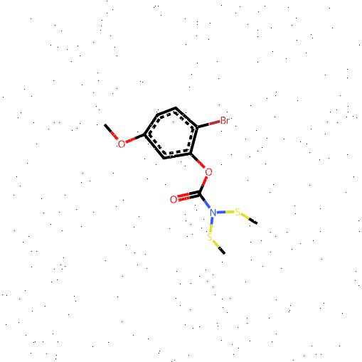 COc1ccc(Br)c(OC(=O)N(SC)SC)c1